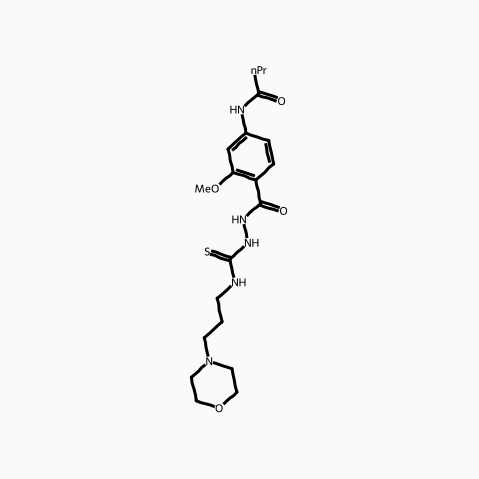 CCCC(=O)Nc1ccc(C(=O)NNC(=S)NCCCN2CCOCC2)c(OC)c1